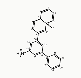 CC12C=CC=CC1C=CC(c1cc(N)cc(-c3ccccc3)c1)=C2